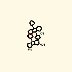 N#Cc1ccc2c(c1)c1cc(C#N)ccc1n2-c1ccccc1-c1cccc(C#N)c1-c1c2ccccc2c(-c2ccccc2)c2ccccc12